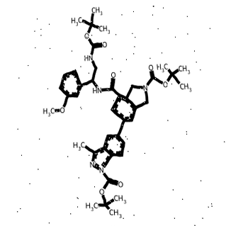 COc1cccc(C(CNC(=O)OC(C)(C)C)NC(=O)c2cc(-c3ccc4c(c3)c(C)nn4C(=O)OC(C)(C)C)cc3c2CN(C(=O)OC(C)(C)C)C3)c1